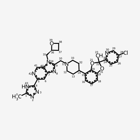 Cc1nnc(-c2cc3nc(CN4CCC(c5cccc6c5OC(C)(c5ccc(Cl)cn5)O6)CC4)n(C[C@@H]4CCO4)c3cn2)[nH]1